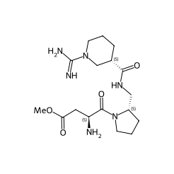 COC(=O)C[C@H](N)C(=O)N1CCC[C@H]1CNC(=O)[C@H]1CCCN(C(=N)N)C1